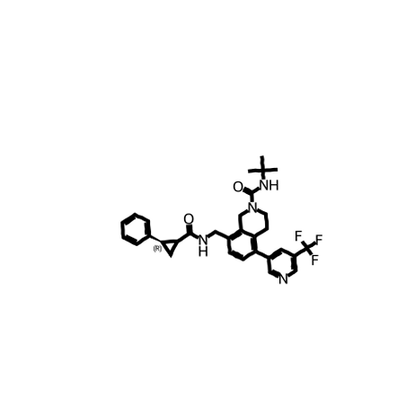 CC(C)(C)NC(=O)N1CCc2c(-c3cncc(C(F)(F)F)c3)ccc(CNC(=O)C3C[C@H]3c3ccccc3)c2C1